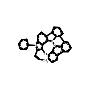 C/C=C\c1c(C)c2c3c(ccc2n1-c1ccccc1)-c1cccc2c1B3n1c3ccccc3c3cccc-2c31